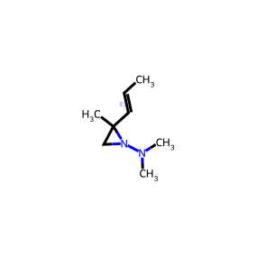 C/C=C/C1(C)CN1N(C)C